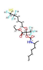 CCCCCC(C)NC(=O)OC(OCCCCC(F)(F)C(F)(F)S)(C(=O)OCC)C(F)(F)F